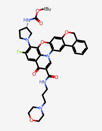 CC(C)(C)OC(=O)N[C@H]1CCN(c2c(F)cc3c(=O)c(C(=O)NCCCN4CCOCC4)cn4c3c2Oc2cc3c(cc2-4)-c2ccccc2CO3)C1